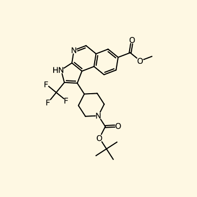 COC(=O)c1ccc2c(cnc3[nH]c(C(F)(F)F)c(C4CCN(C(=O)OC(C)(C)C)CC4)c32)c1